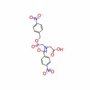 O=C(O)CNCP(=O)(OCc1ccc([N+](=O)[O-])cc1)OCc1ccc([N+](=O)[O-])cc1